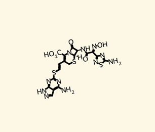 Nc1nc(C(=NO)C(=O)N[C@@H]2C(=O)N3C(C(=O)O)=C(C=CSc4nc(N)c5cn[nH]c5n4)CS[C@H]23)ns1